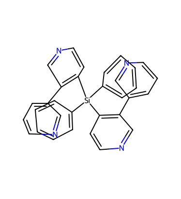 c1ccc([Si](c2ccccc2)(c2ccncc2-c2cccnc2)c2ccncc2-c2cccnc2)cc1